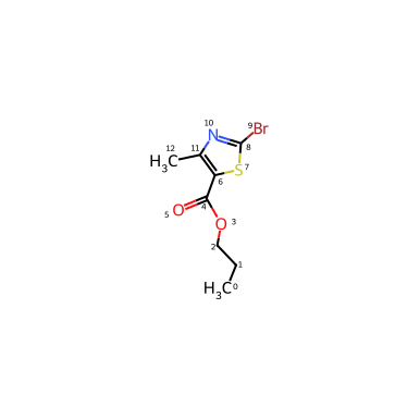 CCCOC(=O)c1sc(Br)nc1C